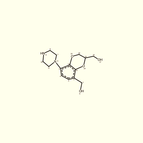 OCc1ccc(N2CCNCC2)c2c1OC(CO)CO2